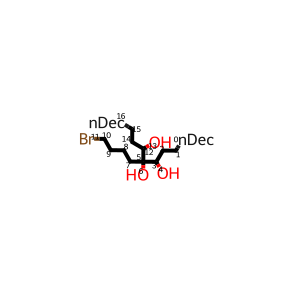 CCCCCCCCCCCCC(O)C(O)(CCCCBr)C(O)CCCCCCCCCCCC